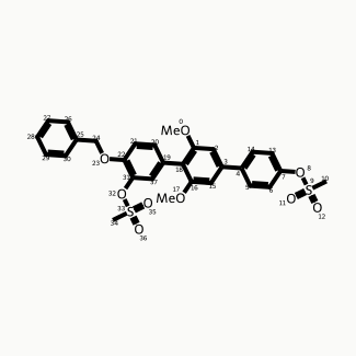 COc1cc(-c2ccc(OS(C)(=O)=O)cc2)cc(OC)c1-c1ccc(OCc2ccccc2)c(OS(C)(=O)=O)c1